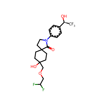 O=C1N(c2ccc([C@@H](O)C(F)(F)F)cc2)CCC12CCC(O)(COCC(F)F)CC2